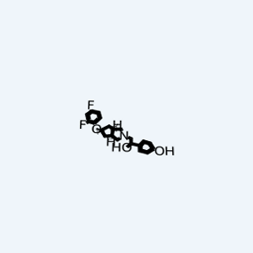 Oc1ccc(C(O)CN2C[C@H]3C[C@@H](Oc4ccc(F)cc4F)C[C@H]3C2)cc1